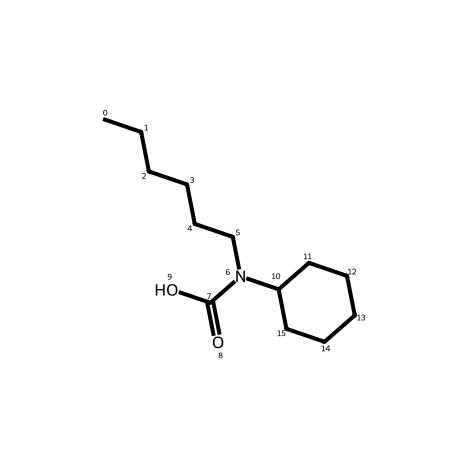 CCCCCCN(C(=O)O)C1CCCCC1